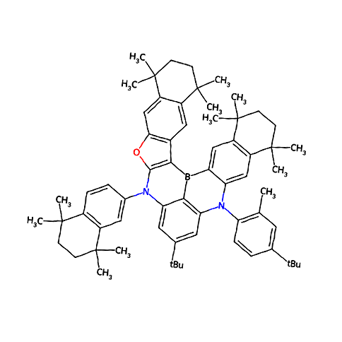 Cc1cc(C(C)(C)C)ccc1N1c2cc3c(cc2B2c4c1cc(C(C)(C)C)cc4N(c1ccc4c(c1)C(C)(C)CCC4(C)C)c1oc4cc5c(cc4c12)C(C)(C)CCC5(C)C)C(C)(C)CCC3(C)C